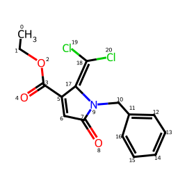 CCOC(=O)C1=CC(=O)N(Cc2ccccc2)C1=C(Cl)Cl